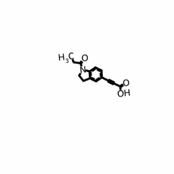 CCC(=O)N1CCc2cc(C#CC(=O)O)ccc21